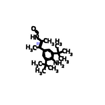 C/C(NC=O)=C(/C)c1cc(C(C)(C)C)c(N)c(C(C)(C)C)c1